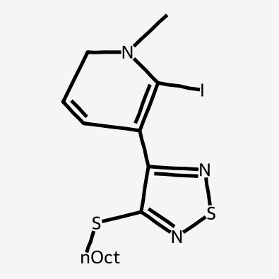 CCCCCCCCSc1nsnc1C1=C(I)N(C)CC=C1